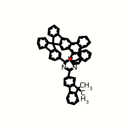 CC1(C)c2ccccc2-c2ccc(-c3nc(-c4ccccc4)nc(-c4ccc5c(c4)C4(c6ccccc6-5)c5ccccc5-c5cc6c7ccccc7c7ccccc7c6cc54)n3)cc21